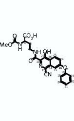 COC(=O)N[C@H](CCNC(=O)c1nc(C#N)c2cc(Oc3ccccc3)ccc2c1O)C(=O)O